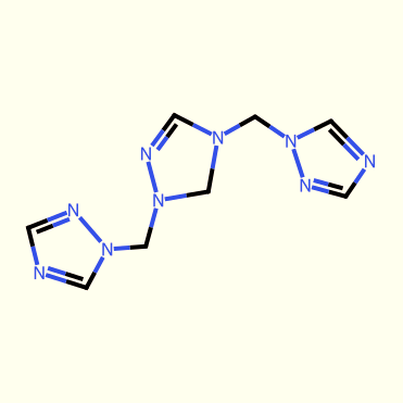 C1=NN(Cn2cncn2)CN1Cn1cncn1